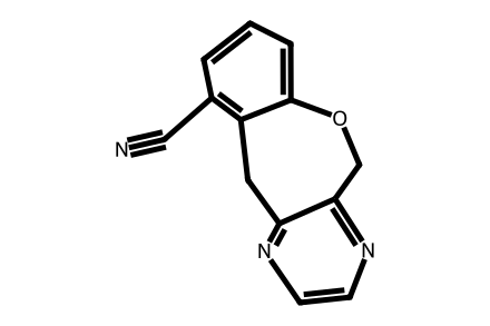 N#Cc1cccc2c1Cc1nccnc1CO2